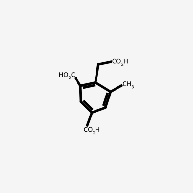 Cc1cc(C(=O)O)cc(C(=O)O)c1CC(=O)O